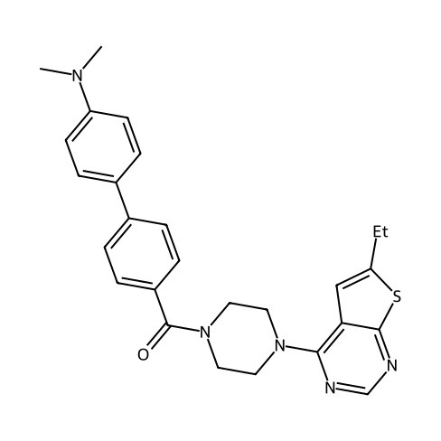 CCc1cc2c(N3CCN(C(=O)c4ccc(-c5ccc(N(C)C)cc5)cc4)CC3)ncnc2s1